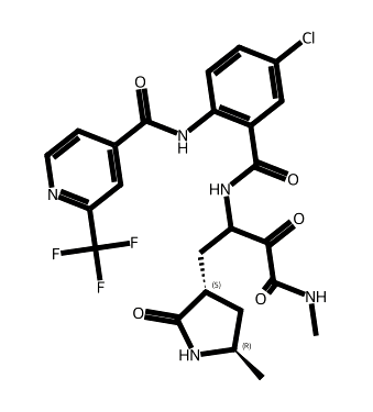 CNC(=O)C(=O)C(C[C@@H]1C[C@@H](C)NC1=O)NC(=O)c1cc(Cl)ccc1NC(=O)c1ccnc(C(F)(F)F)c1